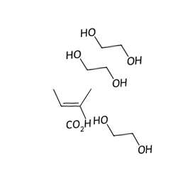 CC=C(C)C(=O)O.OCCO.OCCO.OCCO